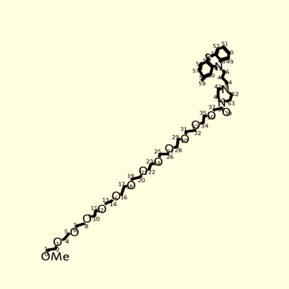 COCCOCCOCCOCCOCCOCCOCCOCCOCCOCCOCCOCCOCC(=O)N1CCN(CCCN2c3ccccc3Sc3ccc(C)cc32)CC1